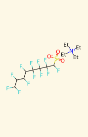 CC[N+](CC)(CC)CC.O=S(=O)([O-])C(F)C(F)(F)C(F)(F)C(F)(F)C(F)C(F)C(F)C(F)F